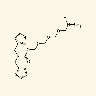 CN(C)COCOCOCOC(=O)N(Cc1cccs1)Cc1cccs1